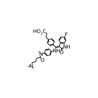 CN(C)CCCC(=O)N(C)c1ccc(N/C(=C2\C(=O)Nc3cc(F)ccc32)c2ccc(CCC(=O)O)cc2)cc1